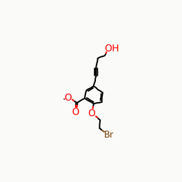 COC(=O)c1cc(C#CCCO)ccc1OCCBr